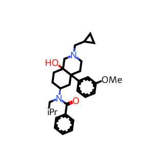 COc1cccc(C23CCN(CC4CC4)CC2(O)CC[C@H](N(CC(C)C)C(=O)c2ccccc2)C3)c1